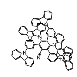 N#Cc1c(-c2cccc(-n3c4ccccc4c4ccccc43)c2)c(-n2c3ccccc3c3c4ccccc4oc32)c(-c2cccc(-n3c4ccccc4c4ccccc43)c2)c(-n2c3ccccc3c3c4ccccc4oc32)c1-c1cccc(-n2c3ccccc3c3ccccc32)c1